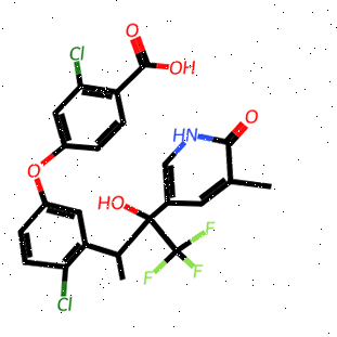 Cc1cc(C(O)(C(C)c2cc(Oc3ccc(C(=O)O)c(Cl)c3)ccc2Cl)C(F)(F)F)c[nH]c1=O